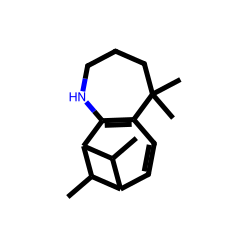 CC1C2C=CC3=C(NCCCC3(C)C)C1C2C